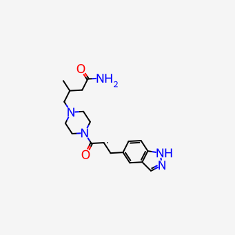 CC(CC(N)=O)CN1CCN(C(=O)[CH]Cc2ccc3[nH]ncc3c2)CC1